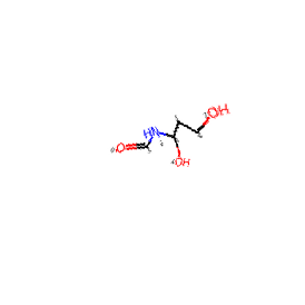 O=CNC(O)CCO